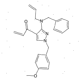 C=CCN(Cc1ccccc1)c1nn(Cc2ccc(OC)cc2)cc1C(=O)C=C